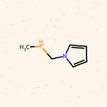 CPCn1cccc1